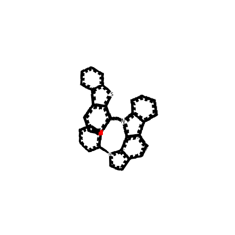 c1ccc(-n2ccc3ccc4c5ccccc5n(-c5cccc6c5sc5ccccc56)c4c32)cc1